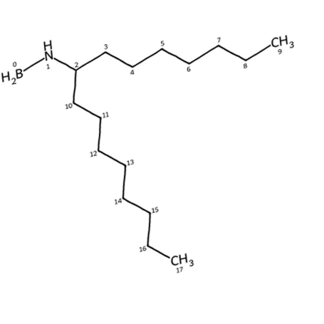 BNC(CCCCCCC)CCCCCCCC